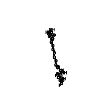 O=C(c1c(F)ccc(NS(=O)(=O)N2CC[C@@H](F)C2)c1F)c1c[nH]c2ncc(-c3ccc(OCCOCCOCCOCCOCCOCCOc4ccc5c(c4)C(=O)N(C4CCC(O)NC4=O)C5=O)cc3)cc12